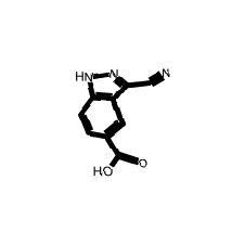 N#Cc1n[nH]c2ccc(C(=O)O)cc12